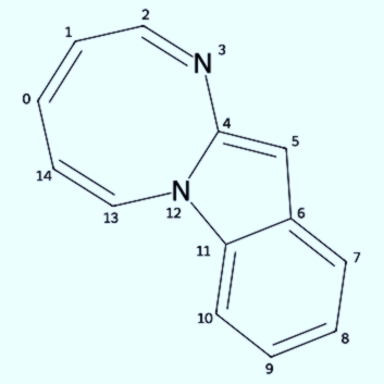 C1=C\C=N/c2cc3ccccc3n2\C=C/1